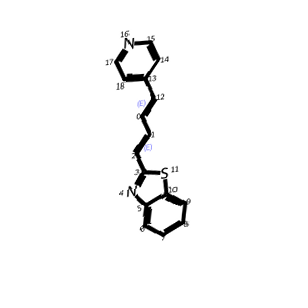 C(/C=C/c1nc2ccccc2s1)=C\c1ccncc1